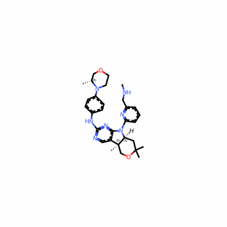 CNCc1cccc(N2c3nc(Nc4ccc(N5CCOC[C@H]5C)cc4)ncc3[C@]3(C)COC(C)(C)C[C@H]23)n1